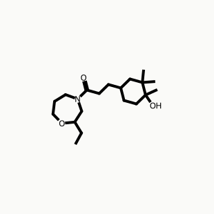 CCC1CN(C(=O)CCC2CCC(C)(O)C(C)(C)C2)CCCO1